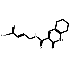 COC(=O)/C=C/CNC(=O)c1cc2c([nH]c1=O)CCCC2